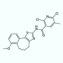 COc1cccc2c1CCCc1nc(NC(=O)c3cc(C)c(Cl)nc3Cl)sc1-2